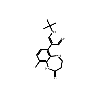 CC(C)(C)N/C=C(\C=N)c1ccc(Cl)c2c1NCCC(=O)N2